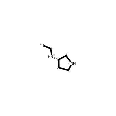 ICN[C@H]1CCNC1